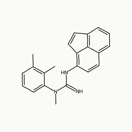 Cc1cccc(N(C)C(=N)Nc2ccc3cccc4c3c2C=C4)c1C